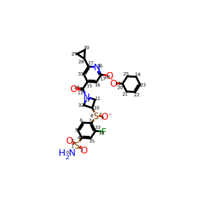 NS(=O)(=O)c1ccc([S+]([O-])C2CN(C(=O)c3cc(OOC4CC=CCC4)nc(C4CC4)c3)C2)c(F)c1